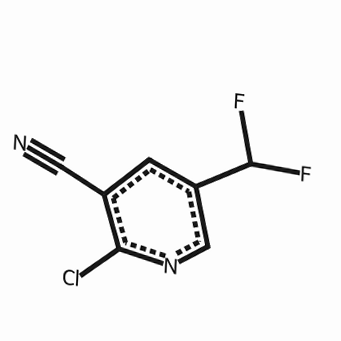 N#Cc1cc(C(F)F)cnc1Cl